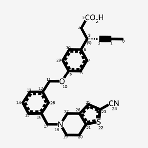 CC#C[C@@H](CC(=O)O)c1ccc(OCc2cccc(CN3CCc4sc(C#N)cc4C3)c2)cc1